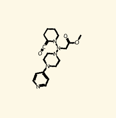 COC(=O)CN(N1CCN(c2ccncc2)CC1)N1CCCCC1=C=O